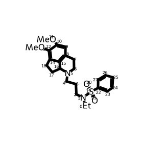 CCN(CCCN1CCc2cc(OC)c(OC)c3c2C1CC3)S(=O)(=O)c1ccccc1